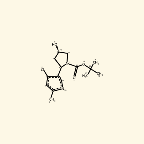 Cc1cc(Cl)c(C2C[C@@H](O)CN2C(=O)OC(C)(C)C)cn1